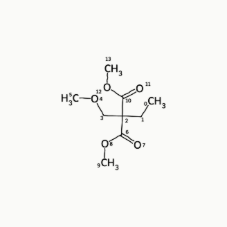 CCC(COC)(C(=O)OC)C(=O)OC